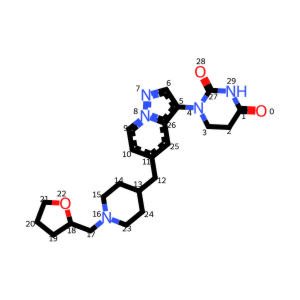 O=C1CCN(c2cnn3ccc(CC4CCN(CC5CCCO5)CC4)cc23)C(=O)N1